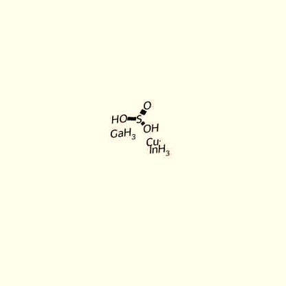 O=S(O)O.[Cu].[GaH3].[InH3]